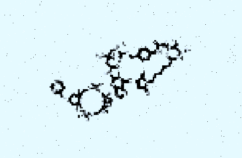 CC(C)[C@H](NC(=O)CCCCCN1C(=O)C=CC1=O)C(=O)N[C@@H](C)C(=O)Nc1ccc(COC(=O)N(C)CC(C)(C)CC(=O)Nc2nc3c(ncn3[C@@H]3O[C@@H]4CO[P@@](=O)(S)O[C@H]5C[C@H](Oc6ccncn6)C[C@@H]5COP(=O)(S)O[C@@H]3[C@@H]4O)c(=O)[nH]2)cc1